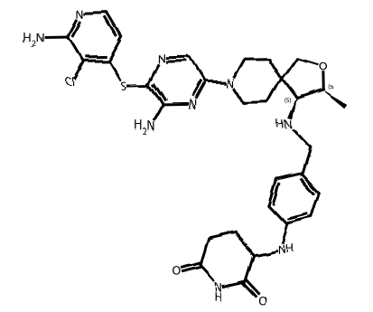 C[C@@H]1OCC2(CCN(c3cnc(Sc4ccnc(N)c4Cl)c(N)n3)CC2)[C@@H]1NCc1ccc(NC2CCC(=O)NC2=O)cc1